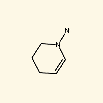 [N]N1C=CCCC1